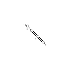 O=C=O.[11C]